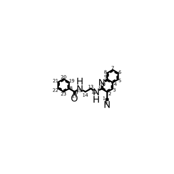 N#Cc1cc2ccccc2nc1NCCNC(=O)c1ccccc1